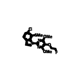 COc1nc(-n2ccc3ccc(Cl)c(SC)c32)nc(OC)c1OCCF